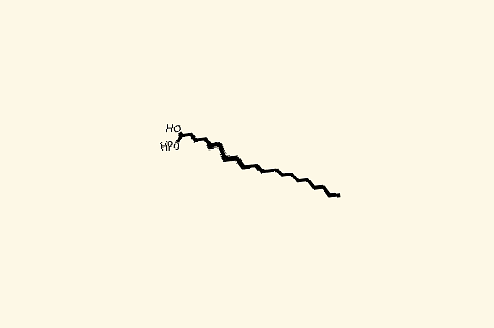 CCCCCCCCCCCCCCCCCCC[CH](O)[PoH]